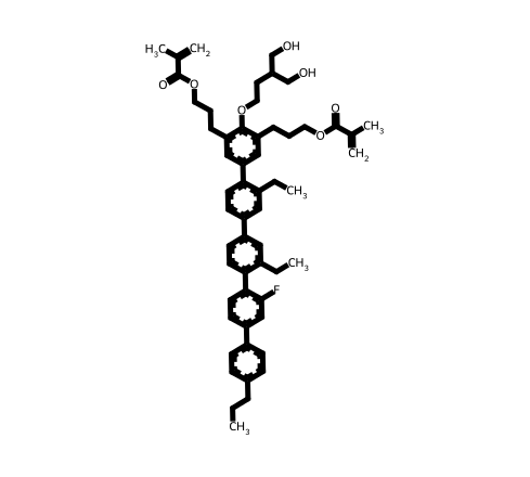 C=C(C)C(=O)OCCCc1cc(-c2ccc(-c3ccc(-c4ccc(-c5ccc(CCC)cc5)cc4F)c(CC)c3)cc2CC)cc(CCCOC(=O)C(=C)C)c1OCCC(CO)CO